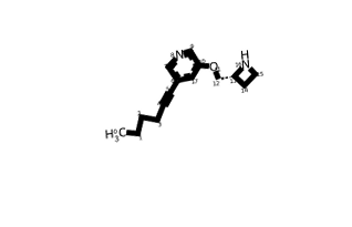 CCCCC#Cc1cncc(OC[C@H]2CCN2)c1